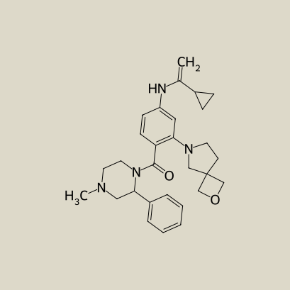 C=C(Nc1ccc(C(=O)N2CCN(C)CC2c2ccccc2)c(N2CCC3(COC3)C2)c1)C1CC1